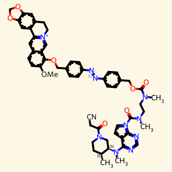 COc1ccc2cc3[n+](cc2c1OCc1ccc(/N=N/c2ccc(COC(=O)N(C)CCN(C)C(=O)n4ccc5c(N(C)[C@@H]6CN(C(=O)CC#N)CC[C@@H]6C)ncnc54)cc2)cc1)CCc1cc2c(cc1-3)OCO2